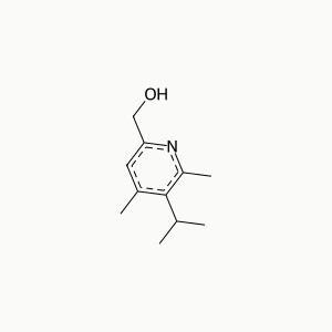 Cc1cc(CO)nc(C)c1C(C)C